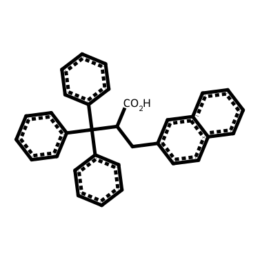 O=C(O)C(Cc1ccc2ccccc2c1)C(c1ccccc1)(c1ccccc1)c1ccccc1